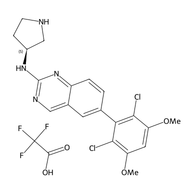 COc1cc(OC)c(Cl)c(-c2ccc3nc(N[C@H]4CCNC4)ncc3c2)c1Cl.O=C(O)C(F)(F)F